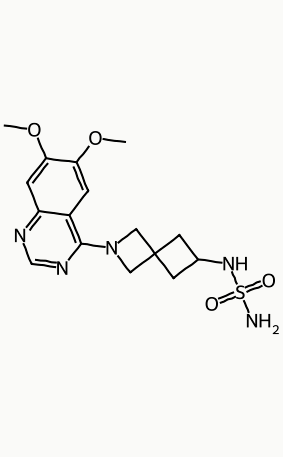 COc1cc2ncnc(N3CC4(CC(NS(N)(=O)=O)C4)C3)c2cc1OC